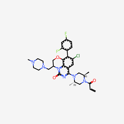 C=CC(=O)N1C[C@H](C)N(c2nc(=O)n3c4c(c(-c5ccc(F)cc5F)c(Cl)cc24)OCC3CN2CCN(C)CC2)C[C@H]1C